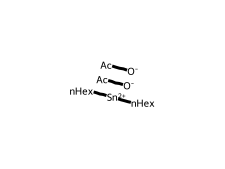 CC(=O)[O-].CC(=O)[O-].CCCCC[CH2][Sn+2][CH2]CCCCC